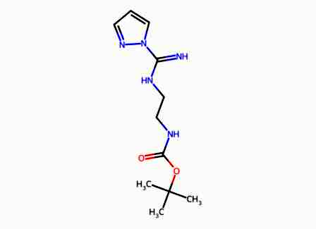 CC(C)(C)OC(=O)NCCNC(=N)n1cccn1